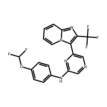 FC(F)Oc1ccc(Nc2cncc(-c3c(C(F)(F)F)nc4ccccn34)n2)cc1